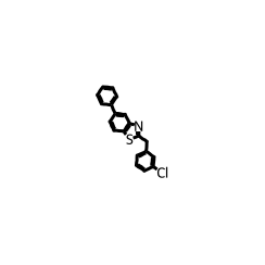 Clc1cccc(Cc2nc3cc(-c4ccccc4)ccc3s2)c1